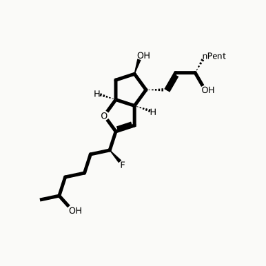 CCCCC[C@H](O)/C=C/[C@@H]1[C@H]2C=C([C@@H](F)CCCC(C)O)O[C@H]2C[C@H]1O